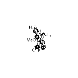 C=CC(=O)Nc1cc(Nc2cc(N3OCC[C@@H]3c3cccc(Cl)c3F)ncn2)c(OC)cc1N1CCN(C)CC1